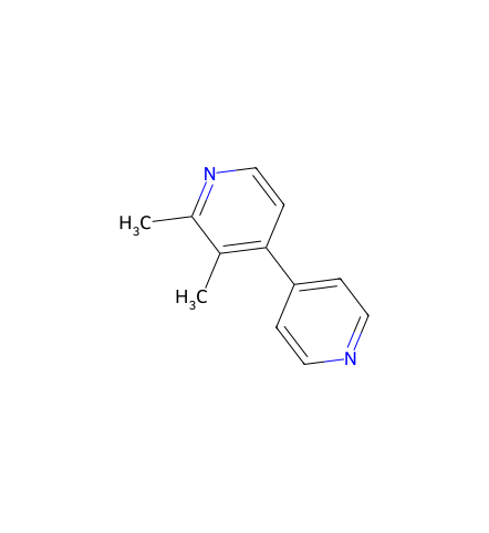 Cc1nccc(-c2ccncc2)c1C